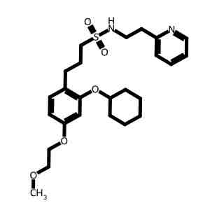 COCCOc1ccc(CCCS(=O)(=O)NCCc2ccccn2)c(OC2CCCCC2)c1